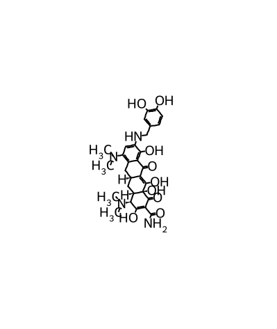 CN(C)c1cc(NCc2ccc(O)c(O)c2)c(O)c2c1C[C@H]1C[C@H]3[C@H](N(C)C)C(O)=C(C(N)=O)C(=O)[C@@]3(O)C(O)=C1C2=O